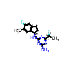 Cc1cc2c(cc1F)CCC2Nc1nc(N)nc(C(C)F)n1